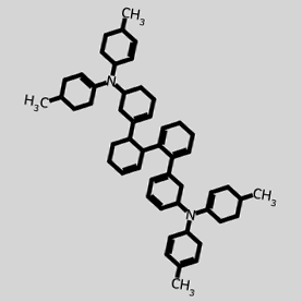 CC1=CCC(N(C2=CCC(C)CC2)C2C=CC=C(C3=CCCC=C3C3C=CCCC3C3=CCCC(N(C4=CCC(C)CC4)C4C=CC(C)CC4)C3)C2)C=C1